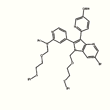 COc1ccc(-c2c(-c3ccnc(N(COCCSC(C)C)C(C)=O)c3)n(COCCSC(C)C)c3cc(Br)cnc23)nc1